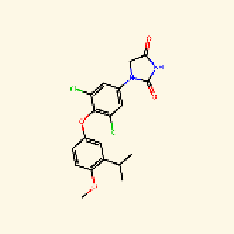 COc1ccc(Oc2c(Cl)cc(N3CC(=O)NC3=O)cc2Cl)cc1C(C)C